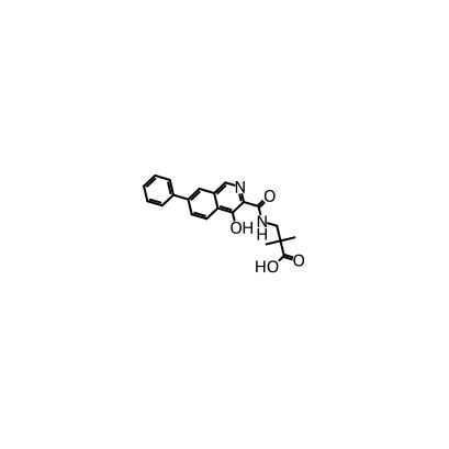 CC(C)(CNC(=O)c1ncc2cc(-c3ccccc3)ccc2c1O)C(=O)O